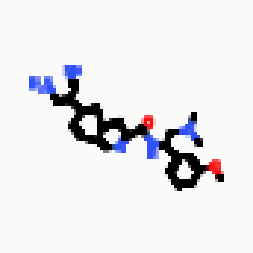 COc1cccc(C(CN(C)C)NC(=O)c2cc3cc(/C(C=N)=C/N)ccc3cn2)c1